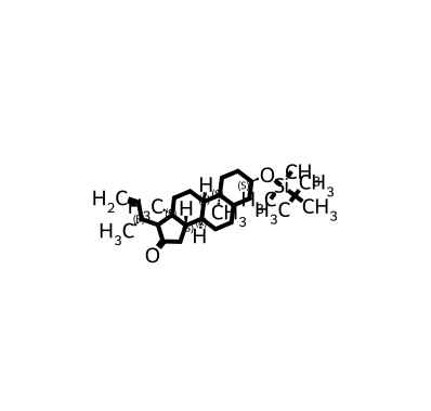 C=C[C@@H](C)C1C(=O)C[C@H]2[C@@H]3CCC4C[C@@H](O[Si](C)(C)C(C)(C)C)CC[C@]4(C)[C@H]3CC[C@]12C